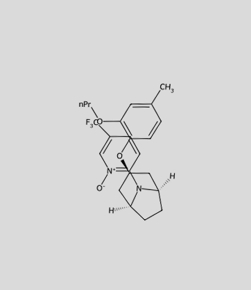 CCCOc1cc(C)ccc1O[C@H]1C[C@H]2CC[C@@H](C1)N2c1ccc(C(F)(F)F)c[n+]1[O-]